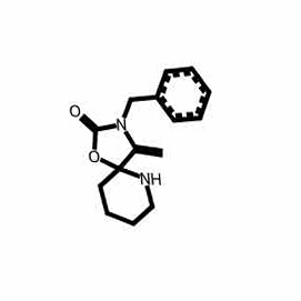 C=C1N(Cc2ccccc2)C(=O)OC12CCCCN2